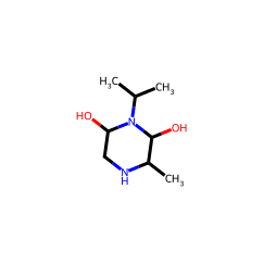 CC1NCC(O)N(C(C)C)C1O